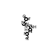 COc1cc(F)cc(-c2nccc3[nH]c(-c4n[nH]c5cnc(-c6cncc(CN(C)C)c6)cc45)nc23)c1